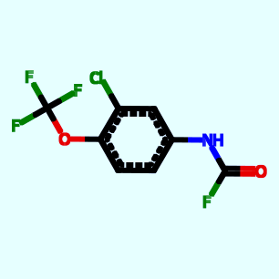 O=C(F)Nc1ccc(OC(F)(F)F)c(Cl)c1